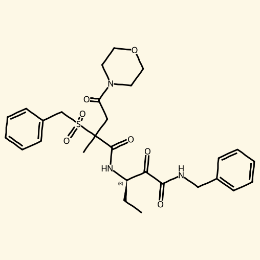 CC[C@@H](NC(=O)C(C)(CC(=O)N1CCOCC1)S(=O)(=O)Cc1ccccc1)C(=O)C(=O)NCc1ccccc1